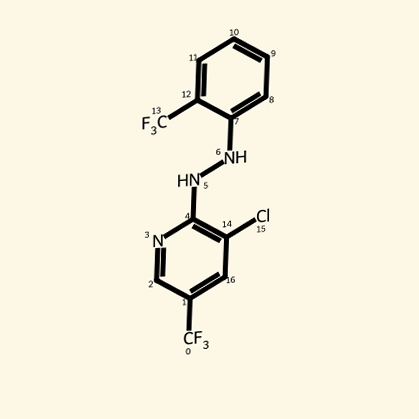 FC(F)(F)c1cnc(NNc2ccccc2C(F)(F)F)c(Cl)c1